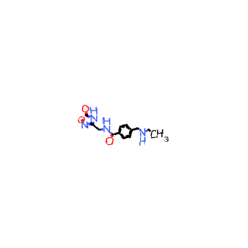 CCNCc1ccc(C(=O)NCc2noc(=O)[nH]2)cc1